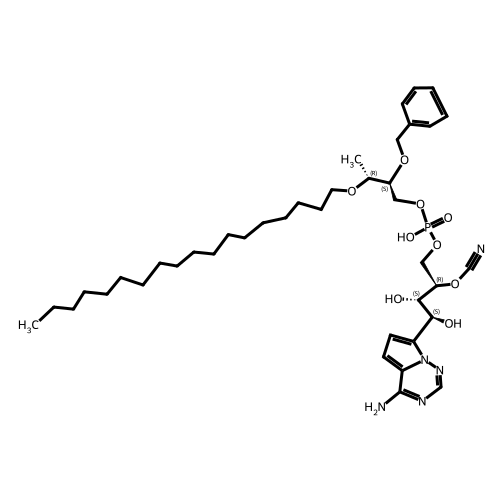 CCCCCCCCCCCCCCCCCCO[C@H](C)[C@H](COP(=O)(O)OC[C@@H](OC#N)[C@@H](O)[C@@H](O)c1ccc2c(N)ncnn12)OCc1ccccc1